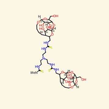 CNC(=S)NCCN(CCNC(=S)NCC1O[C@@H]2OC3C(CO)O[C@H](OCCCCC1[C@@H](O)C2O)C(O)[C@@H]3O)CCNC(=S)NCC1O[C@@H]2OC3C(CO)O[C@H](OCCCCC1[C@@H](O)C2O)C(O)[C@@H]3O